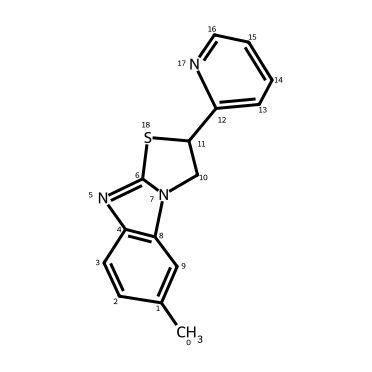 Cc1ccc2nc3n(c2c1)CC(c1ccccn1)S3